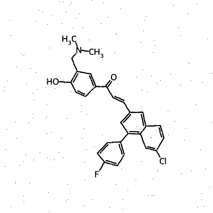 CN(C)Cc1cc(C(=O)/C=C/c2cc(-c3ccc(F)cc3)c3cc(Cl)ccc3c2)ccc1O